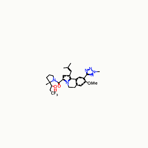 COc1cc2c(cc1-c1nnn(C)n1)-c1c(C=C(C)C)cc(C(=O)N3CCC[C@@]3(C)[C@@H](O)CC(F)(F)F)n1CC2